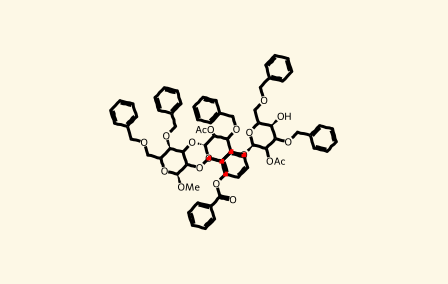 CO[C@H]1OC(COCc2ccccc2)[C@@H](OCc2ccccc2)C(O[C@H]2OC(COC(=O)c3ccccc3)[C@@H](O[C@H]3OC(COCc4ccccc4)[C@@H](O)C(OCc4ccccc4)C3OC(C)=O)C(OCc3ccccc3)C2OC(C)=O)C1OCc1ccccc1